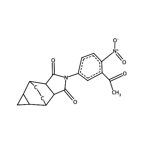 CC(=O)c1cc(N2C(=O)C3C4CCC(C5CC54)C3C2=O)ccc1[N+](=O)[O-]